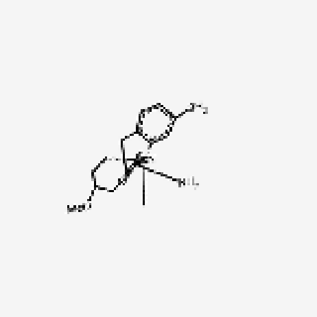 Bc1ccc2c(c1)[C@@]1(N=C(N)N(C)C1=O)[C@]1(CC[C@H](OC)CC1)C2